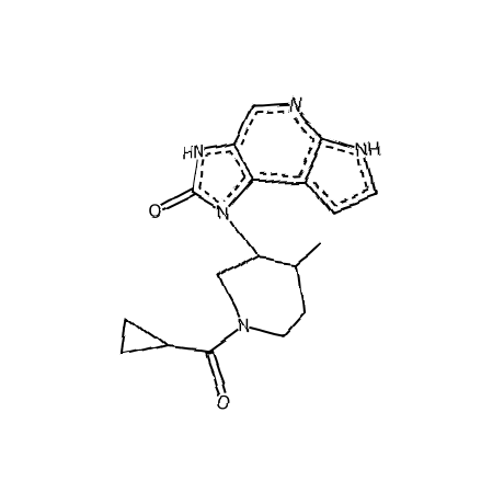 CC1CCN(C(=O)C2CC2)CC1n1c(=O)[nH]c2cnc3[nH]ccc3c21